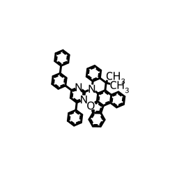 CC1(C)c2ccccc2N(c2nc(-c3ccccc3)cc(-c3cccc(-c4ccccc4)c3)n2)c2c1c1ccccc1c1c2oc2ccccc21